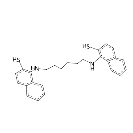 Sc1ccc2ccccc2c1NCCCCCCNc1c(S)ccc2ccccc12